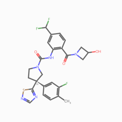 Cc1ccc([C@@]2(c3ncns3)CCN(C(=O)Nc3cc(C(F)F)ccc3C(=O)N3CC(O)C3)C2)cc1F